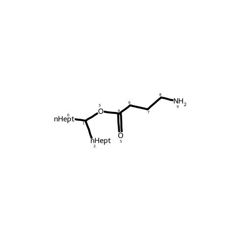 CCCCCCCC(CCCCCCC)OC(=O)CCCN